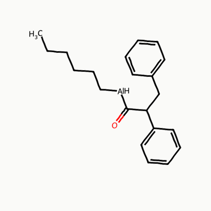 CCCCC[CH2][AlH][C](=O)C(Cc1ccccc1)c1ccccc1